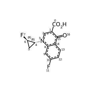 O=C(O)c1cn([C@@H]2C[C@H]2F)c2cc(F)ccc2c1=O